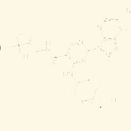 CC(C)(O)C(F)CNC(=O)c1cnc(-n2ncc3cc(C#N)cnc32)cc1NC1CCC(C(C)(C)O)CC1